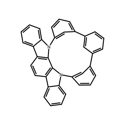 c1cc2cc(c1)c1cccc(c1)n1c3ccccc3c3ccc4c5ccccc5n(c5cccc2c5)c4c31